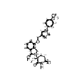 CC1(N2Cc3c(OCc4cn(-c5ccc(C(F)(F)F)cc5)nn4)cccc3C2=O)CCC(=O)NC1=O